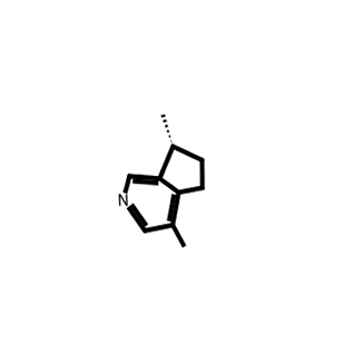 Cc1cncc2c1CC[C@H]2C